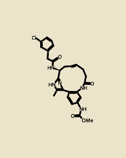 COC(=O)Nc1ccc2c(c1)NC(=O)CC/C=C/C[C@H](NC(=O)Cc1cccc(Cl)c1)c1nc-2c(C)[nH]1